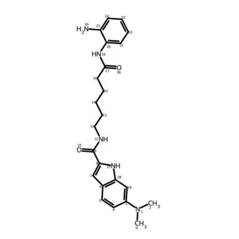 CN(C)c1ccc2cc(C(=O)NCCCCCC(=O)Nc3ccccc3N)[nH]c2c1